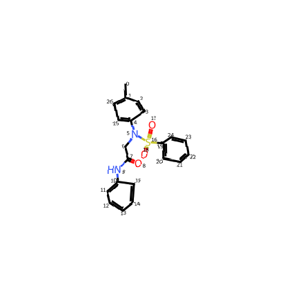 Cc1ccc(N(CC(=O)Nc2ccccc2)S(=O)(=O)c2ccccc2)cc1